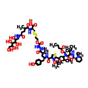 CCCC(=O)OCN(C(=O)[C@@H](NC(=O)[C@H]1CCCCN1C)C(C)CC)[C@H](C[C@@H](OC(C)=O)c1nc(C(=O)N[C@@H](Cc2ccc(O)cc2)C[C@H](C)C(=O)NNC(=O)OCCSSC[C@H](NC(=O)[C@@H](C)CCC(=O)NC[C@H](O)[C@@H](O)[C@H](O)[C@H](O)CO)C(=O)O)cs1)C(C)C